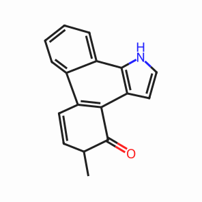 CC1C=Cc2c(c3cc[nH]c3c3ccccc23)C1=O